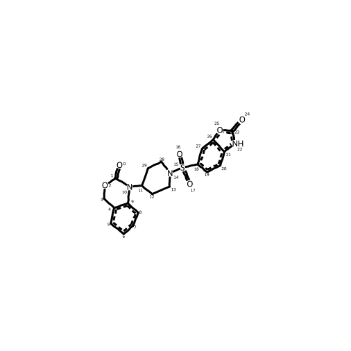 O=C1OCc2ccccc2N1C1CCN(S(=O)(=O)c2ccc3[nH]c(=O)oc3c2)CC1